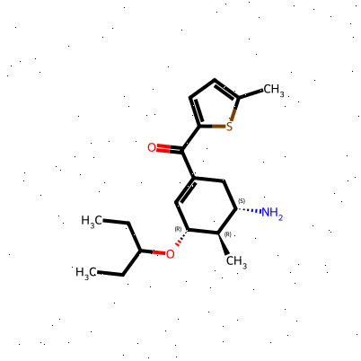 CCC(CC)O[C@@H]1C=C(C(=O)c2ccc(C)s2)C[C@H](N)[C@H]1C